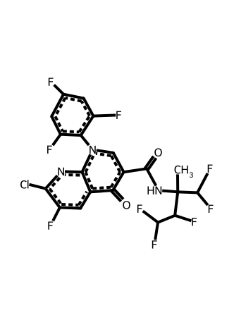 CC(NC(=O)c1cn(-c2c(F)cc(F)cc2F)c2nc(Cl)c(F)cc2c1=O)(C(F)F)C(F)C(F)F